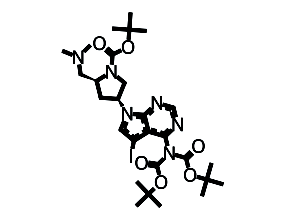 CN(C)C[C@@H]1C[C@H](n2cc(I)c3c(N(C(=O)OC(C)(C)C)C(=O)OC(C)(C)C)ncnc32)CN1C(=O)OC(C)(C)C